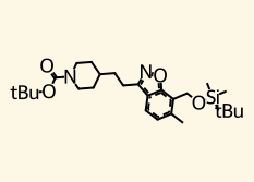 Cc1ccc2c(CCC3CCN(C(=O)OC(C)(C)C)CC3)noc2c1CO[Si](C)(C)C(C)(C)C